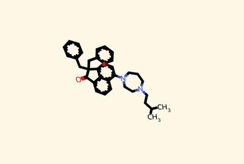 CC(C)CCN1CCCN(c2ccc3c4c(cccc24)C(=O)C3(Cc2ccccc2)Cc2ccccc2)CC1